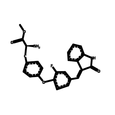 COC(=O)[C@@H](N)Cc1ccc(Oc2ccc(/C=C3/C(=O)Nc4ccccc43)cc2F)cc1